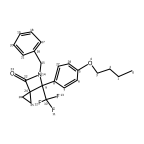 CCCCOc1ccc(C2(C(F)(F)F)N(Cc3ccccc3)C(=O)C23CC3)cc1